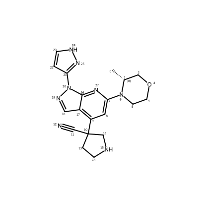 C[C@@H]1COCCN1c1cc(C2(C#N)CCNC2)c2cnn(-c3cc[nH]n3)c2n1